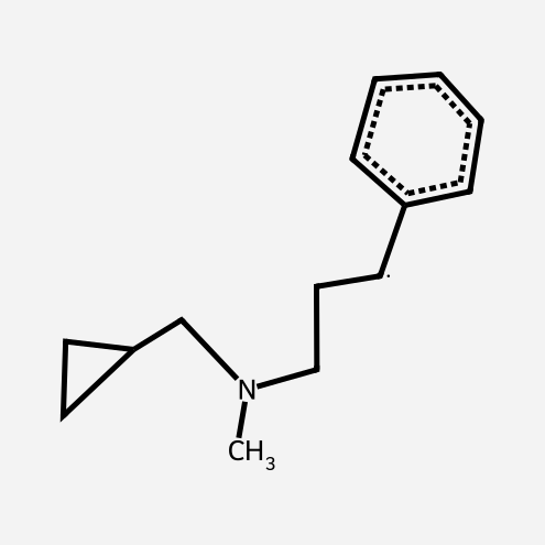 CN(CC[CH]c1ccccc1)CC1CC1